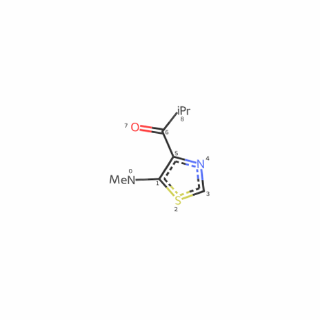 CNc1scnc1C(=O)C(C)C